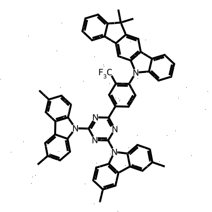 Cc1ccc2c(c1)c1cc(C)ccc1n2-c1nc(-c2ccc(-n3c4ccccc4c4cc5c(cc43)-c3ccccc3C5(C)C)c(C(F)(F)F)c2)nc(-n2c3ccc(C)cc3c3cc(C)ccc32)n1